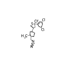 Cc1cc(C2=CSC(c3cc(Cl)cc(Cl)c3)(C(F)(F)F)C2)ccc1CN=[N+]=[N-]